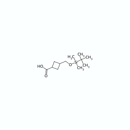 CC(C)(C)[Si](C)(C)OCC1CC(C(=O)O)C1